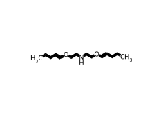 CCCC=COCCNCCOC=CCCC